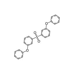 O=S(=O)(c1cccc(Oc2ccccc2)c1)c1cccc(Oc2ccccc2)c1